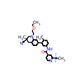 CCOCCN1C[C@](C)(C#N)Cc2ccc(-c3cc(NC(=O)c4ccnc(C(C)(F)F)c4)ccc3C)cc21